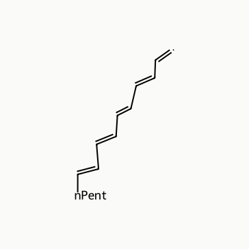 [CH]=CC=CC=CC=CC=CCCCCC